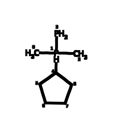 C[PH](C)(P)C1CCCC1